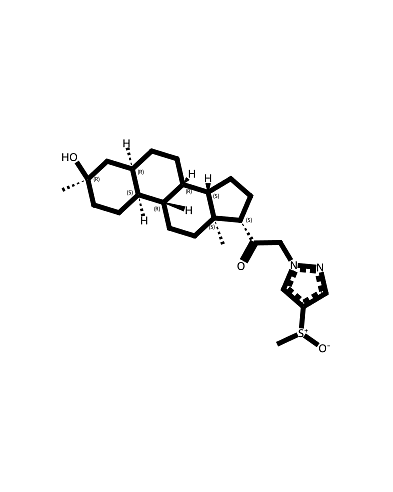 C[S+]([O-])c1cnn(CC(=O)[C@H]2CC[C@H]3[C@@H]4CC[C@@H]5C[C@](C)(O)CC[C@@H]5[C@H]4CC[C@]23C)c1